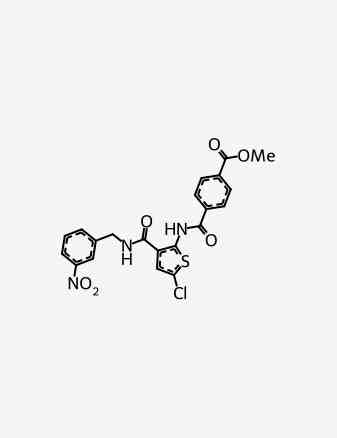 COC(=O)c1ccc(C(=O)Nc2sc(Cl)cc2C(=O)NCc2cccc([N+](=O)[O-])c2)cc1